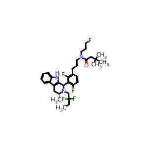 CCC(F)(F)CN1C(c2c(F)ccc(CCCN(CCCF)C(=O)CC(C)(C)C)c2F)c2[nH]c3ccccc3c2C[C@H]1C